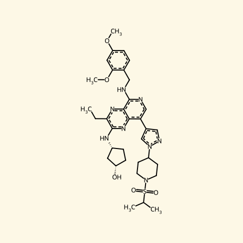 CCc1nc2c(NCc3ccc(OC)cc3OC)ncc(-c3cnn(C4CCN(S(=O)(=O)C(C)C)CC4)c3)c2nc1N[C@@H]1CC[C@H](O)C1